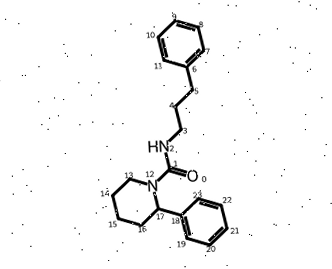 O=C(NCCCc1ccccc1)N1CCCCC1c1ccccc1